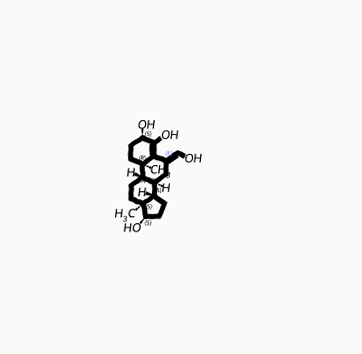 C[C@]12CC[C@H]3[C@@H](C/C(=C\O)C4=C(O)[C@@H](O)CC[C@@]43C)[C@@H]1CC[C@@H]2O